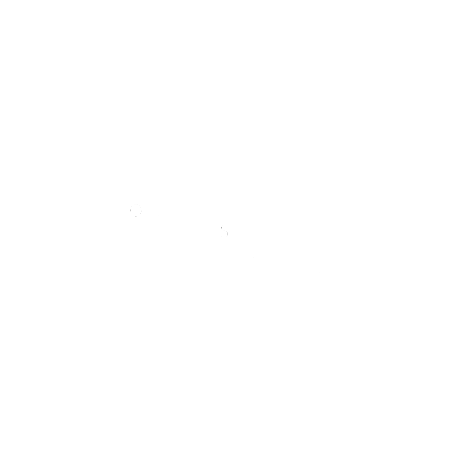 Cc1cc(SCc2ccc3ccccc3c2)c(C)cc1[O]